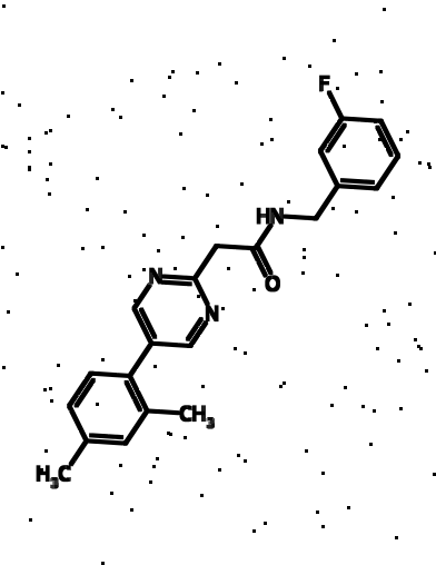 Cc1ccc(-c2cnc(CC(=O)NCc3cccc(F)c3)nc2)c(C)c1